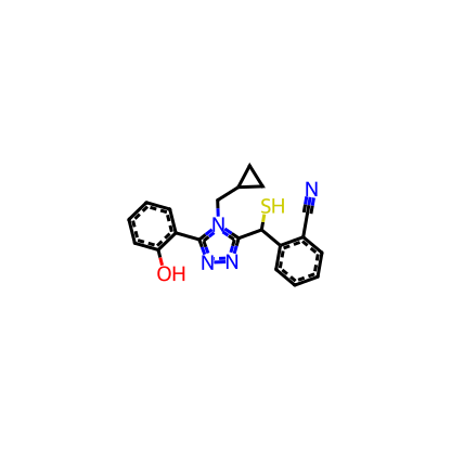 N#Cc1ccccc1C(S)c1nnc(-c2ccccc2O)n1CC1CC1